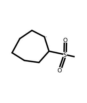 CS(=O)(=O)C1[CH]CCCCC1